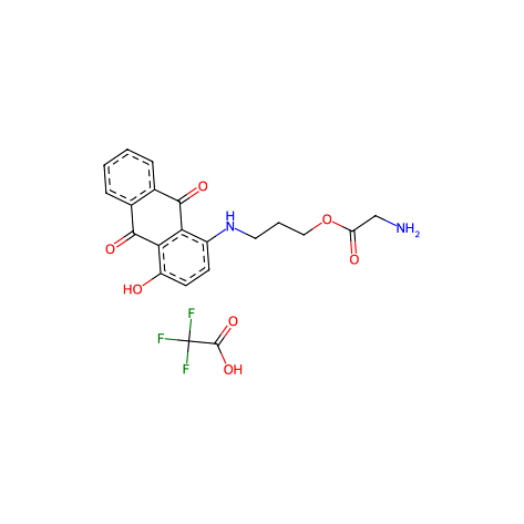 NCC(=O)OCCCNc1ccc(O)c2c1C(=O)c1ccccc1C2=O.O=C(O)C(F)(F)F